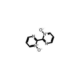 [O-][n+]1cccnc1-c1nccc[n+]1[O-]